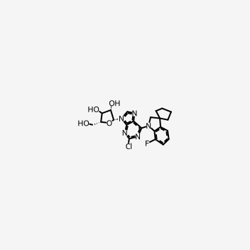 OC[C@H]1O[C@@H](n2cnc3c(N4CC5(CCCC5)c5cccc(F)c54)nc(Cl)nc32)[C@@H](O)C1O